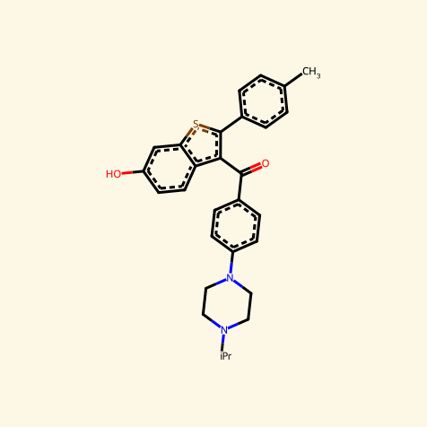 Cc1ccc(-c2sc3cc(O)ccc3c2C(=O)c2ccc(N3CCN(C(C)C)CC3)cc2)cc1